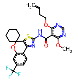 C=CCCOc1ncnc(OC)c1C(=O)Nc1nc2c(s1)C1(CCCCC1)Oc1cc(C(F)(F)F)ccc1-2